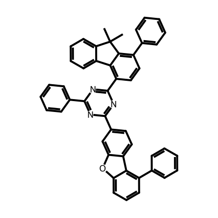 CC1(C)c2ccccc2-c2c(-c3nc(-c4ccccc4)nc(-c4ccc5c(c4)oc4cccc(-c6ccccc6)c45)n3)ccc(-c3ccccc3)c21